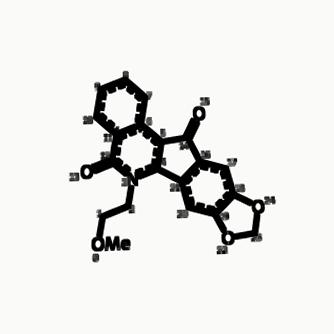 COCCn1c2c(c3ccccc3c1=O)C(=O)c1cc3c(cc1-2)OCO3